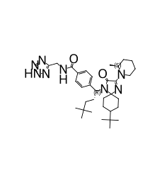 C[C@H]1CCCCN1C1=NC2(CCC(C(C)(C)C)CC2)N([C@H](CCC(C)(C)C)c2ccc(C(=O)NCc3nn[nH]n3)cc2)C1=O